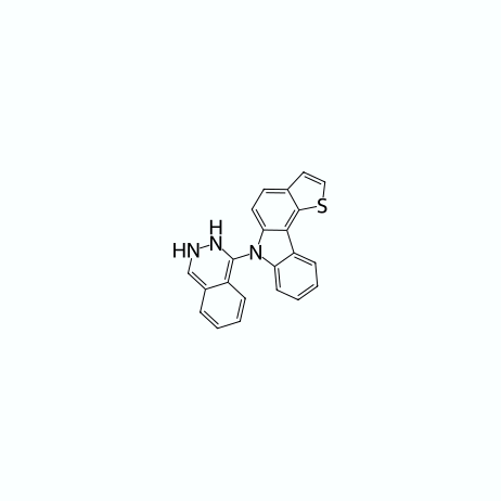 C1=c2ccccc2=C(n2c3ccccc3c3c4sccc4ccc32)NN1